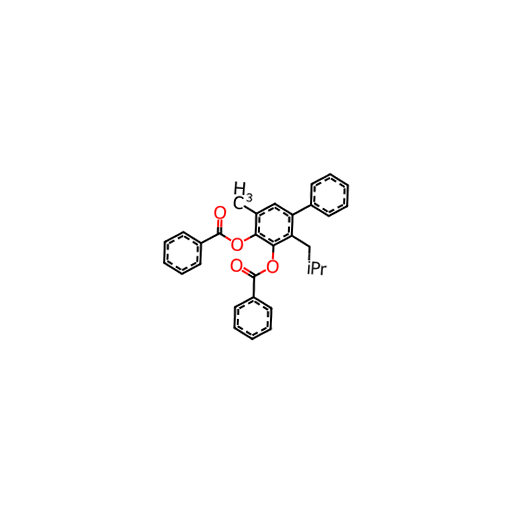 Cc1cc(-c2ccccc2)c(CC(C)C)c(OC(=O)c2ccccc2)c1OC(=O)c1ccccc1